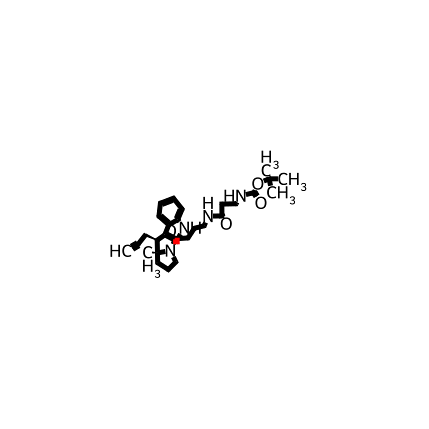 C#CC[C@@H](c1c[nH]c2ccccc12)[C@]1(C)CCCN1C(=O)CCCNC(=O)CCNC(=O)OC(C)(C)C